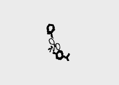 CC(C)c1ccc(CN(C)C(=O)OCc2ccccc2)cc1